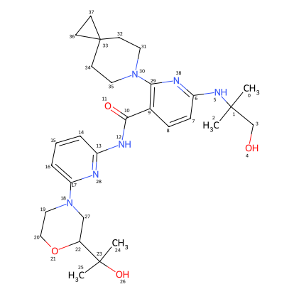 CC(C)(CO)Nc1ccc(C(=O)Nc2cccc(N3CCOC(C(C)(C)O)C3)n2)c(N2CCC3(CC2)CC3)n1